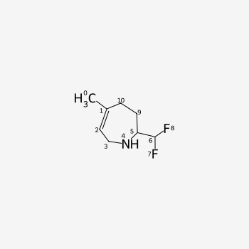 CC1=CCNC(C(F)F)CC1